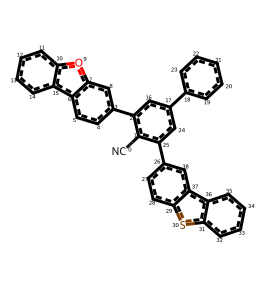 N#Cc1c(-c2ccc3c(c2)oc2ccccc23)cc(-c2ccccc2)cc1-c1ccc2sc3ccccc3c2c1